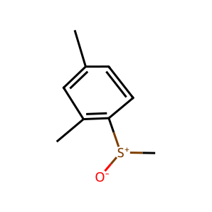 Cc1ccc([S+](C)[O-])c(C)c1